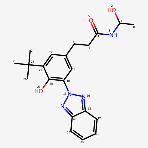 CC(O)NC(=O)CCc1cc(-n2nc3ccccc3n2)c(O)c(C(C)(C)C)c1